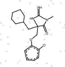 CN1C(=N)NC(COc2ccccc2Cl)(CC2CCCCC2)C1=O